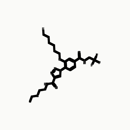 CCSCCNC(=O)c1cn(-c2ccc(C(=O)NCC(F)(F)F)cc2OCCCCCCF)nn1